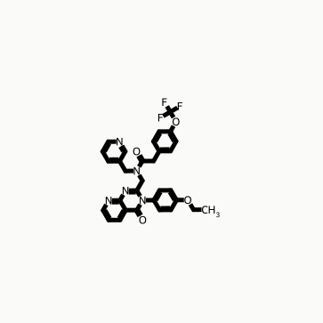 CCOc1ccc(-n2c(CN(Cc3cccnc3)C(=O)Cc3ccc(OC(F)(F)F)cc3)nc3ncccc3c2=O)cc1